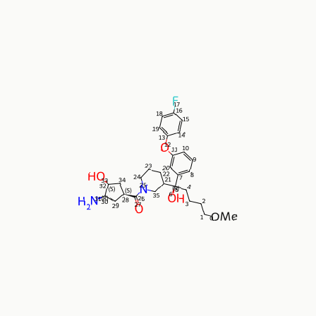 COCCCC[C@@](O)(c1cccc(Oc2ccc(F)cc2)c1)C1CCCN(C(=O)[C@H]2C[C@@H](N)[C@@H](O)C2)C1